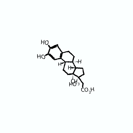 C[C@]12CC[C@@H]3c4cc(O)c(O)cc4CC[C@H]3[C@@H]1CC[C@@]2(O)CC(=O)O